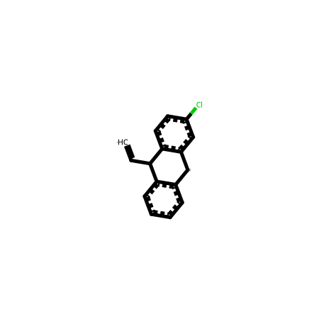 [CH]=CC1c2ccccc2[C]c2cc(Cl)ccc21